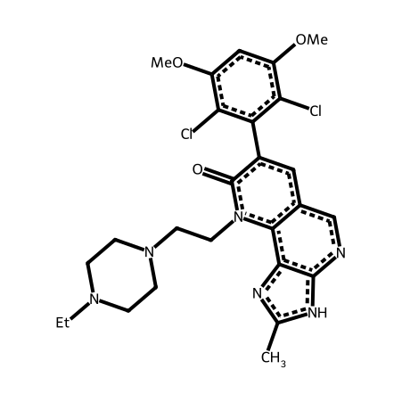 CCN1CCN(CCn2c(=O)c(-c3c(Cl)c(OC)cc(OC)c3Cl)cc3cnc4[nH]c(C)nc4c32)CC1